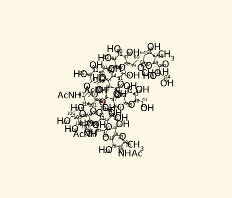 CC(=O)NC1C(OC2[C@@H](OCC3O[C@@H](O[C@@H]4C(CO)O[C@@H](O[C@@H]5C(CO)O[C@@H](C)C(NC(C)=O)[C@H]5O)C(NC(C)=O)[C@H]4O)C(O)[C@@H](O[C@H]4OC(CO)[C@@H](O)C(O)C4O[C@@H]4OC(CO)[C@@H](O[C@@H]5OC(CC[C@]6(OC=O)C[C@@H](O)[C@@H](C)C([C@@H](O)C(O)CO)O6)[C@H](O)[C@H](O)C5O)[C@H](O)C4NC(C)=O)[C@@H]3O)OC(CO)[C@@H](O)[C@@H]2O)OC(CO)[C@@H](O[C@@H]2OC(CO)[C@H](O)[C@H](O)C2O)[C@@H]1O